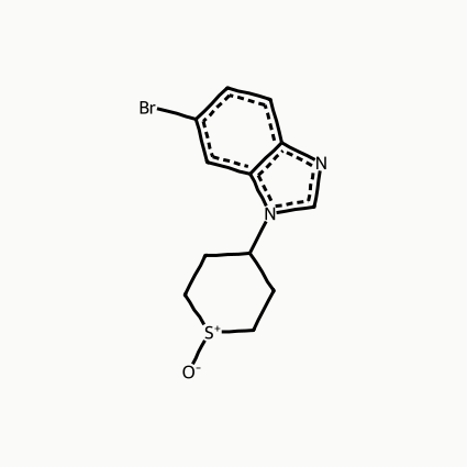 [O-][S+]1CCC(n2cnc3ccc(Br)cc32)CC1